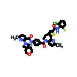 Cc1ccc2c(n1)-c1sc(C(=O)Nc3c(F)cccc3Cl)cc1CCN2C(=O)c1ccc(NC(=O)c2ccc(C)nc2N2CC3(CCOCC3)C2)cc1